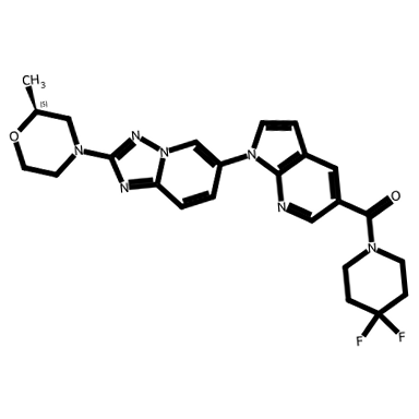 C[C@H]1CN(c2nc3ccc(-n4ccc5cc(C(=O)N6CCC(F)(F)CC6)cnc54)cn3n2)CCO1